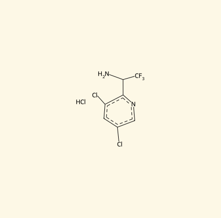 Cl.NC(c1ncc(Cl)cc1Cl)C(F)(F)F